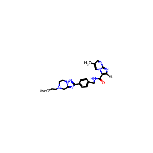 CCc1nc2ncc(C)cn2c1C(=O)NCc1ccc(-c2nc3n(n2)CCN(CCOC)C3)cc1